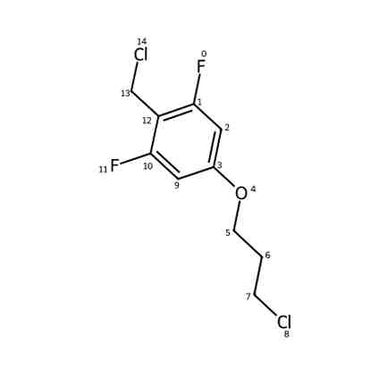 Fc1cc(OCCCCl)cc(F)c1CCl